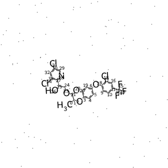 CC(Oc1ccc(Oc2ccc(C(F)(F)F)cc2Cl)cc1)C(=O)OCC(O)c1ncc(Cl)cc1Cl